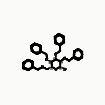 Br[C@@H]1O[C@H](COCc2ccccc2)[C@H](OCc2ccccc2)[C@H](OCc2ccccc2)[C@H]1OCc1ccccc1